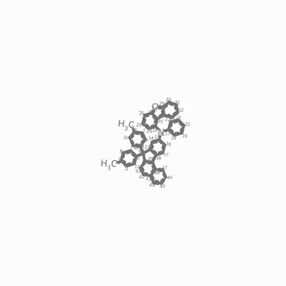 Cc1ccc(C2(c3ccc(C)cc3)c3cc(N(c4ccccc4)c4cccc5oc6ccccc6c45)ccc3-c3c2ccc2ccccc32)cc1